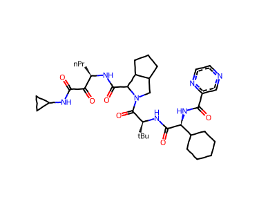 CCC[C@@H](NC(=O)C1C2CCCC2CN1C(=O)[C@@H](NC(=O)[C@@H](NC(=O)c1cnccn1)C1CCCCC1)C(C)(C)C)C(=O)C(=O)NC1CC1